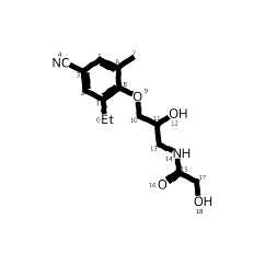 CCc1cc(C#N)cc(C)c1OCC(O)CNC(=O)CO